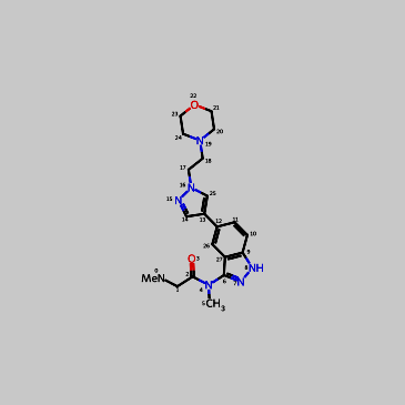 CNCC(=O)N(C)c1n[nH]c2ccc(-c3cnn(CCN4CCOCC4)c3)cc12